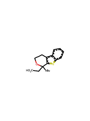 CCCCC1(CC(=O)O)OCCc2c1sc1ccccc21